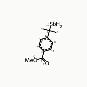 COC(=O)c1ccc([C](C)(C)[SbH2])cc1